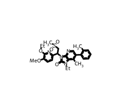 CCOc1nc(C(CS(C)(=O)=O)n2c(=O)n(CC)c3c(C)c(-c4ccccc4C)cnc32)ccc1OC